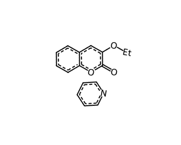 CCOc1cc2ccccc2oc1=O.c1ccncc1